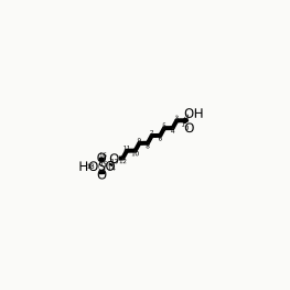 O=C(O)CCCCCCCCCCOOS(=O)(=O)O